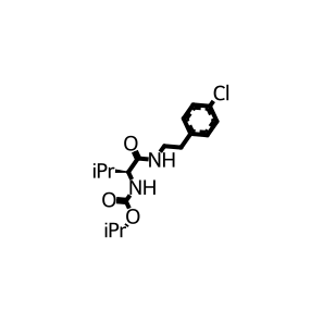 CC(C)OC(=O)N[C@H](C(=O)NCCc1ccc(Cl)cc1)C(C)C